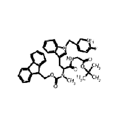 CN(C(=O)OCC1c2ccccc2-c2ccccc21)C(Cc1cn(CC2=CC=C(F)NC2)c2ccccc12)C(=O)NCC(=O)OC(C)(C)C